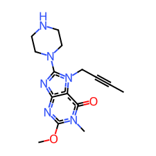 CC#CCn1c(N2CCNCC2)nc2nc(OC)n(C)c(=O)c21